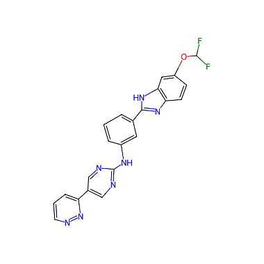 FC(F)Oc1ccc2nc(-c3cccc(Nc4ncc(-c5cccnn5)cn4)c3)[nH]c2c1